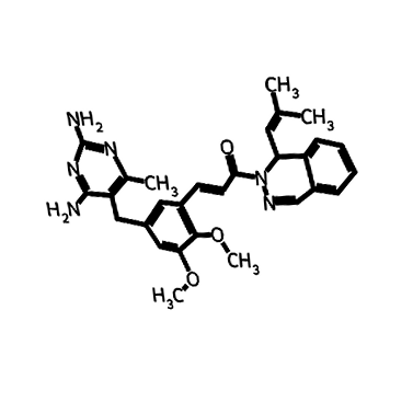 COc1cc(Cc2c(C)nc(N)nc2N)cc(C=CC(=O)N2N=Cc3ccccc3C2C=C(C)C)c1OC